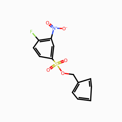 O=[N+]([O-])c1cc(S(=O)(=O)OCc2ccccc2)ccc1F